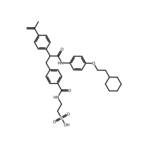 C=C(C)c1ccc(C(Cc2ccc(C(=O)NCCS(=O)(=O)O)cc2)C(=O)Nc2ccc(OCCC3CCCCC3)cc2)cc1